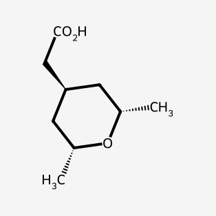 C[C@@H]1C[C@@H](CC(=O)O)C[C@H](C)O1